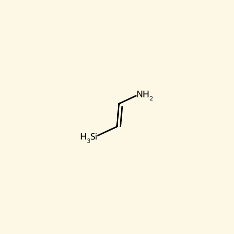 NC=C[SiH3]